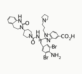 Nc1c(Br)cc(C[C@@H](NC(=O)N2CCC(N3CCc4ccccc4NC3=O)CC2)c2nc3cc(C(=O)O)ccc3n2CCCN2CCCC2)cc1Br